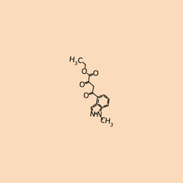 CCOC(=O)C(=O)CC(=O)c1cccc2c1cnn2C